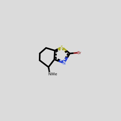 CNC1CCCc2sc(Br)nc21